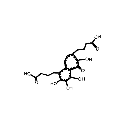 O=C(O)CCCc1ccc2c(CCCC(=O)O)c(O)c(O)c(O)c2c(=O)c1O